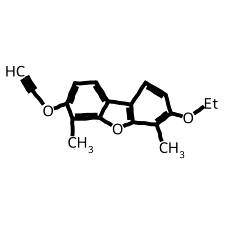 C#COc1ccc2c(oc3c(C)c(OCC)ccc32)c1C